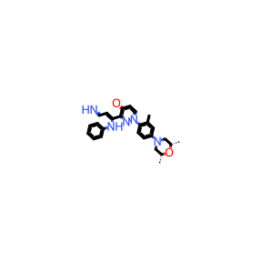 Cc1cc(N2C[C@@H](C)O[C@@H](C)C2)ccc1-n1ccc(=O)c(/C(=C/C=N)Nc2ccccc2)n1